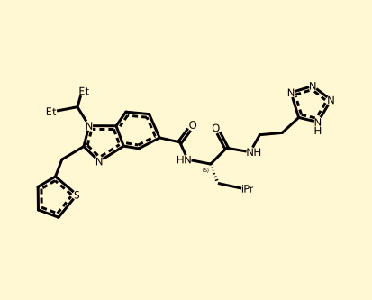 CCC(CC)n1c(Cc2cccs2)nc2cc(C(=O)N[C@@H](CC(C)C)C(=O)NCCc3nnn[nH]3)ccc21